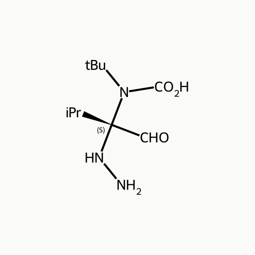 CC(C)[C@@](C=O)(NN)N(C(=O)O)C(C)(C)C